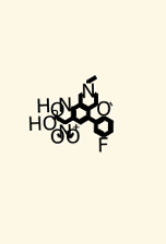 CCN1CCc2c(-c3cc(F)ccc3OC)cc(C(C(=O)O)[N+](=O)[O-])c(N)c2C1